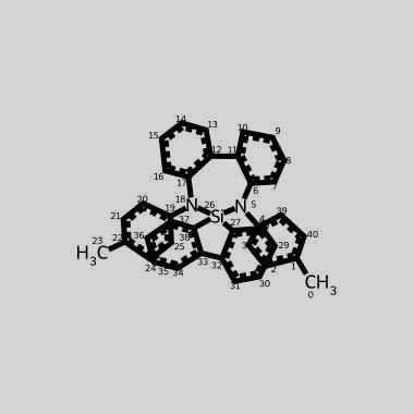 Cc1ccc(N2c3ccccc3-c3ccccc3N(c3ccc(C)cc3)[Si]23c2ccccc2-c2ccccc23)cc1